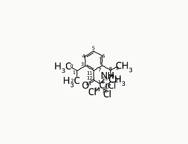 CC(C)c1cccc(C(C)C)c1[C](=O)[Cr]([NH2])([Cl])([Cl])[Cl]